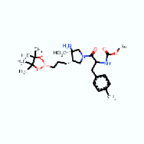 Cc1ccc(CC(NC(=O)OC(C)(C)C)C(=O)N2C[C@H](CCCB3OC(C)(C)C(C)(C)O3)[C@](N)(C(=O)O)C2)cc1